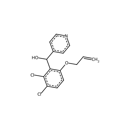 C=CCOc1ccc(Cl)c(Cl)c1C(O)c1ccncc1